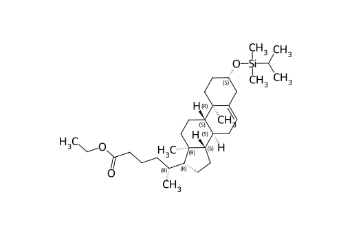 CCOC(=O)CCC[C@@H](C)[C@H]1CC[C@H]2[C@@H]3CC=C4C[C@@H](O[Si](C)(C)C(C)C)CC[C@]4(C)[C@H]3CC[C@]12C